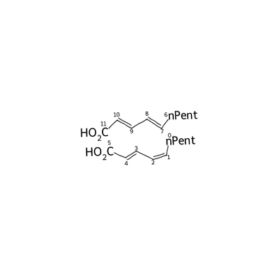 CCCCC/C=C\C=C\C(=O)O.CCCCCC=CC=CC(=O)O